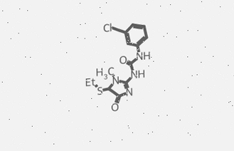 CCSC1C(=O)N=C(NC(=O)Nc2cccc(Cl)c2)N1C